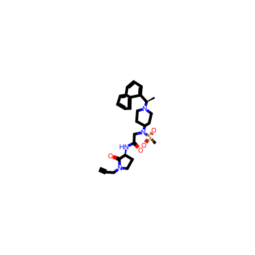 C#CCN1CC[C@H](NC(=O)CN(C2CCN([C@H](C)c3cccc4ccccc34)CC2)S(C)(=O)=O)C1=O